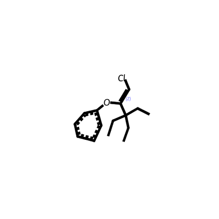 CCC(CC)(CC)/C(=C/Cl)Oc1ccccc1